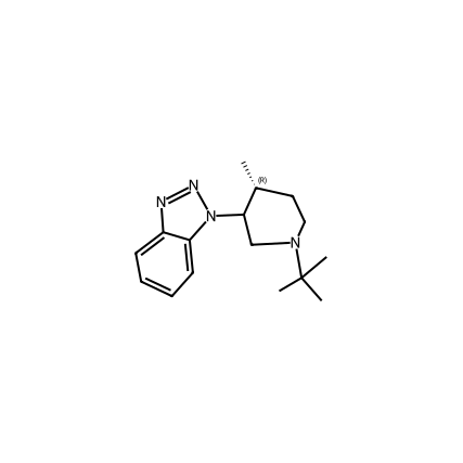 C[C@@H]1CCN(C(C)(C)C)CC1n1nnc2ccccc21